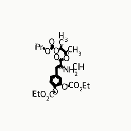 CCOC(=O)Oc1ccc(C[C@H](N)C(=O)O[C@H](C)C(C)OC(=O)OC(C)C)cc1OC(=O)OCC.Cl